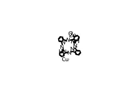 [Cu].[O]=[Zn][c]1cccc2c3nc4nc(nc5[nH]c(nc6nc(nc([nH]3)c12)-c1ccccc1-6)c1ccccc51)-c1ccccc1-4